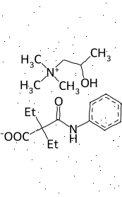 CC(O)C[N+](C)(C)C.CCC(CC)(C(=O)[O-])C(=O)Nc1ccccc1